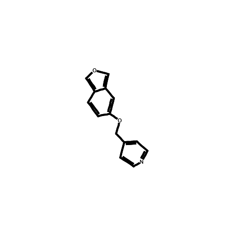 c1cc(COc2ccc3cocc3c2)ccn1